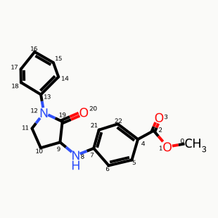 COC(=O)c1ccc(NC2CCN(c3ccccc3)C2=O)cc1